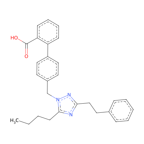 CCCCc1nc(CCc2ccccc2)nn1Cc1ccc(-c2ccccc2C(=O)O)cc1